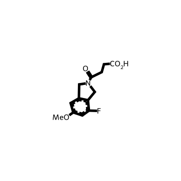 COc1cc(F)c2c(c1)CN(C(=O)CCC(=O)O)C2